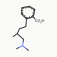 CC(CCc1ccccc1C(=O)O)CN(C)C